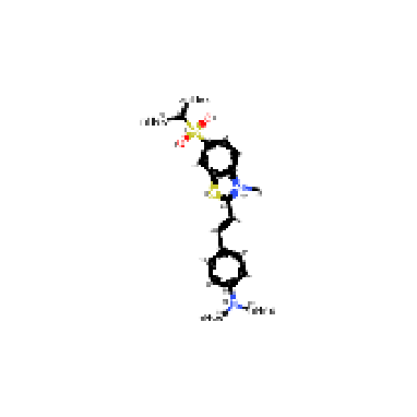 CCCCCCC(CCCCCC)S(=O)(=O)c1ccc2c(c1)sc(C=Cc1ccc(N(CCCCCC)CCCCCC)cc1)[n+]2C